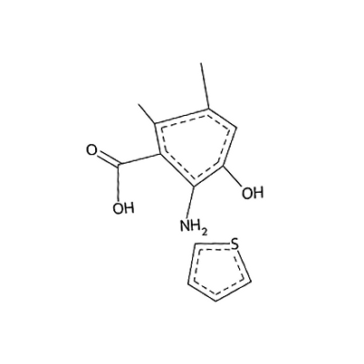 Cc1cc(O)c(N)c(C(=O)O)c1C.c1ccsc1